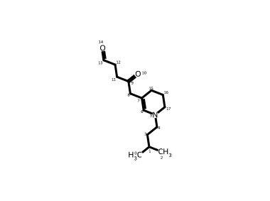 CC(C)CCN1C=C(CC(=O)CCC=O)CCC1